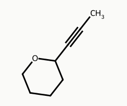 CC#CC1CCCCO1